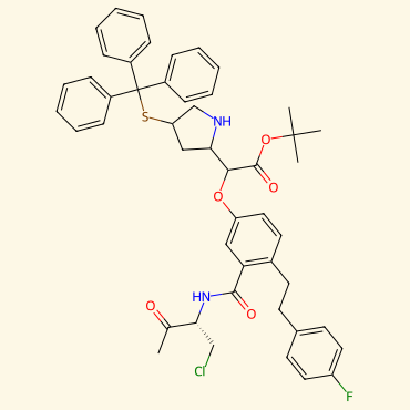 CC(=O)[C@@H](CCl)NC(=O)c1cc(OC(C(=O)OC(C)(C)C)C2CC(SC(c3ccccc3)(c3ccccc3)c3ccccc3)CN2)ccc1CCc1ccc(F)cc1